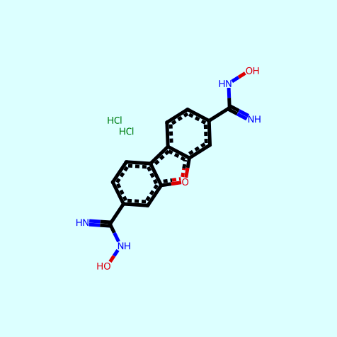 Cl.Cl.N=C(NO)c1ccc2c(c1)oc1cc(C(=N)NO)ccc12